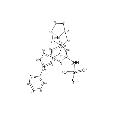 CS(=O)(=O)Nc1cccc(N2C3CCC2CN(Cc2cn(-c4ccccc4)nn2)C3)c1